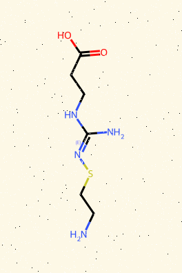 NCCS/N=C(\N)NCCC(=O)O